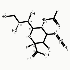 CC(=O)N[C@@H]1C(N=[N+]=[N-])C(F)[C@](F)(C(=O)O)OC1[C@H](O)[C@H](O)CO